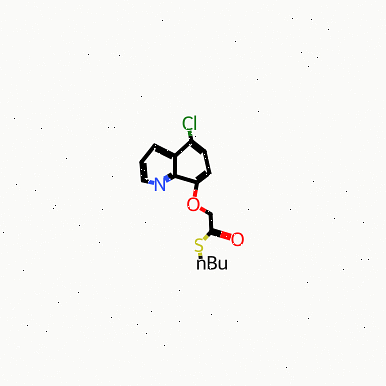 CCCCSC(=O)COc1ccc(Cl)c2cccnc12